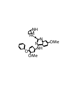 C#Cc1nc(Nc2ccc(Oc3ccccc3)c(OC)c2)c2ccc(OC)cc2n1.C1CC2NCC12